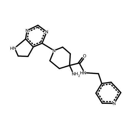 NC1(C(=O)NCc2ccncc2)CCN(c2ncnc3c2CCN3)CC1